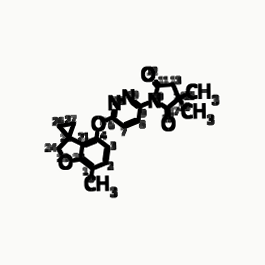 Cc1ccc(Oc2ccc(N3C(=O)CC(C)(C)C3=O)nn2)c2c1OCC21CC1